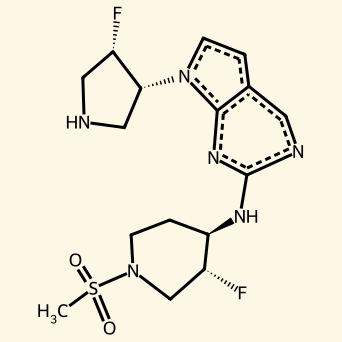 CS(=O)(=O)N1CC[C@@H](Nc2ncc3ccn([C@@H]4CNC[C@@H]4F)c3n2)[C@H](F)C1